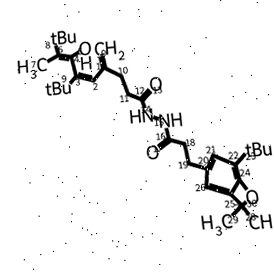 C=C(/C=C(\C(O)=C(/C)C(C)(C)C)C(C)(C)C)CCC(=O)NNC(=O)CCc1cc(C(C)(C)C)c2c(c1)C(C)(C)O2